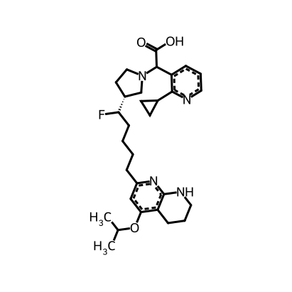 CC(C)Oc1cc(CCCCC(F)[C@@H]2CCN(C(C(=O)O)c3cccnc3C3CC3)C2)nc2c1CCCN2